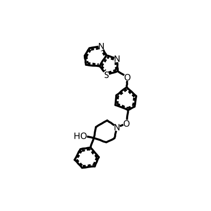 OC1(c2ccccc2)CCN(Oc2ccc(Oc3nc4ncccc4s3)cc2)CC1